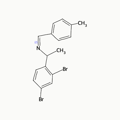 Cc1ccc(/C=N\C(C)c2ccc(Br)cc2Br)cc1